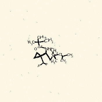 CC(C)O[Si](C)(C)CC(N[S@@+]([O-])C(C)(C)C)C1(C(F)F)CC1